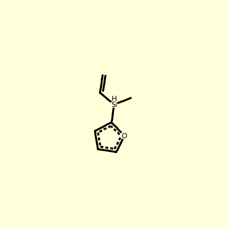 C=C[SiH](C)c1ccco1